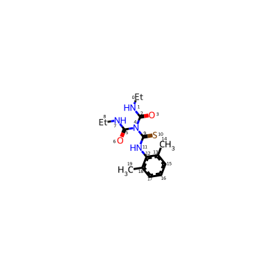 CCNC(=O)N(C(=O)NCC)C(=S)Nc1c(C)cccc1C